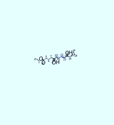 CCOC(=O)CCC[C@H](O)/C=C/C=C/[C@H](O)CC1CC1